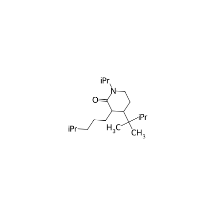 CC(C)CCCC1C(=O)N(C(C)C)CCC1C(C)(C)C(C)C